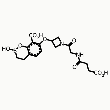 O=C(O)CCC(=O)NCC(=O)N1CC(Oc2ccc3c(c2C(=O)O)OB(O)CC3)C1